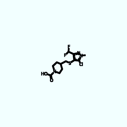 Cn1nc(C(F)F)c(SCC2CCN(C(=O)O)CC2)c1Cl